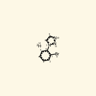 Brc1ccccc1-n1ccnn1.[2H]